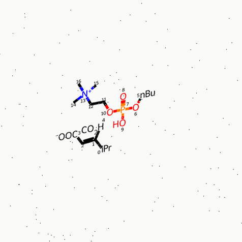 CC(C)/C(=C/C(=O)[O-])C(=O)O.CCCCOP(=O)(O)OCC[N+](C)(C)C